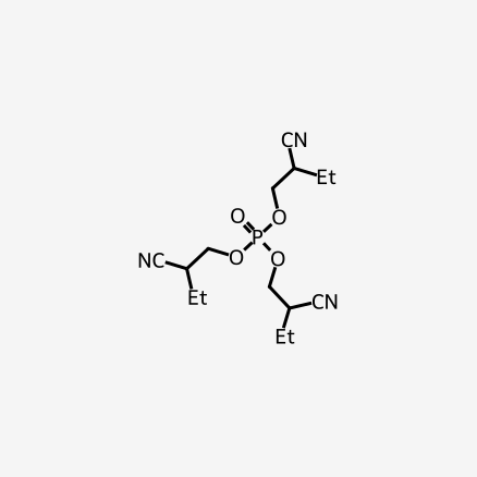 CCC(C#N)COP(=O)(OCC(C#N)CC)OCC(C#N)CC